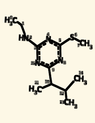 CCNc1nc(SC)nc(C(C)C(C)C)n1